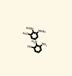 CC(=O)Nc1cccc(OC(C)=O)c1NC(C)=O.Nc1cccc(O)c1N